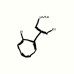 CC/C=C(\CSC)c1ccccc1CC